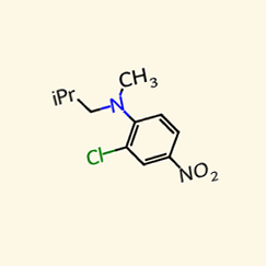 CC(C)CN(C)c1ccc([N+](=O)[O-])cc1Cl